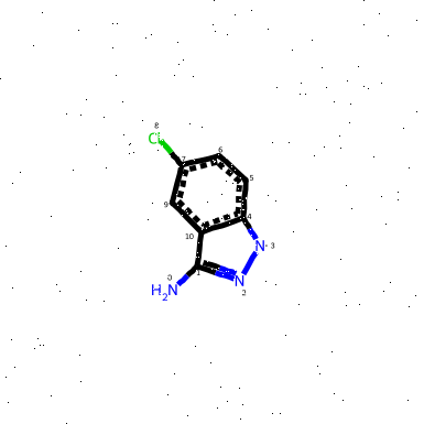 NC1=N[N]c2ccc(Cl)cc21